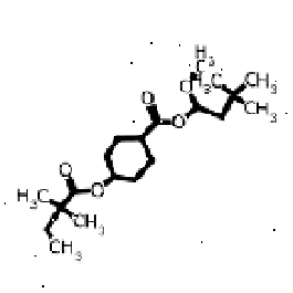 CCC(C)(C)C(=O)OC1CCC(C(=O)OC(CC(C)(C)C)OC)CC1